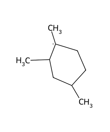 C[C]1CCC(C)CC1C